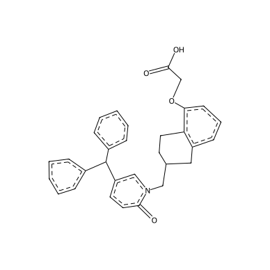 O=C(O)COc1cccc2c1CCC(Cn1cc(C(c3ccccc3)c3ccccc3)ccc1=O)C2